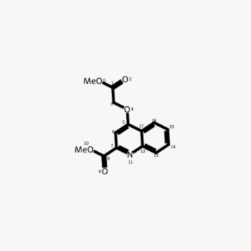 COC(=O)COc1cc(C(=O)OC)nc2ccccc12